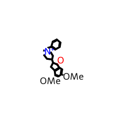 COc1cc2c(cc1OC)C(=O)C(C1CC[N+](C)(Cc3ccccc3)CC1)C2